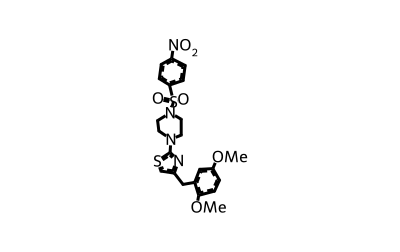 COc1ccc(OC)c(Cc2csc(N3CCN(S(=O)(=O)c4ccc([N+](=O)[O-])cc4)CC3)n2)c1